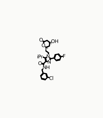 CC(C)c1c(C(=O)NCc2cccc(Cl)c2)nc(-c2ccc(F)cc2)n1CC[C@@H]1C[C@@H](O)CC(=O)O1